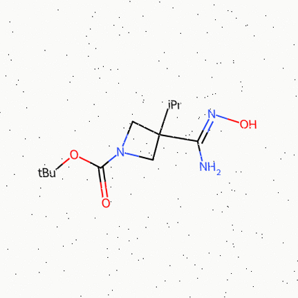 CC(C)C1(/C(N)=N/O)CN(C(=O)OC(C)(C)C)C1